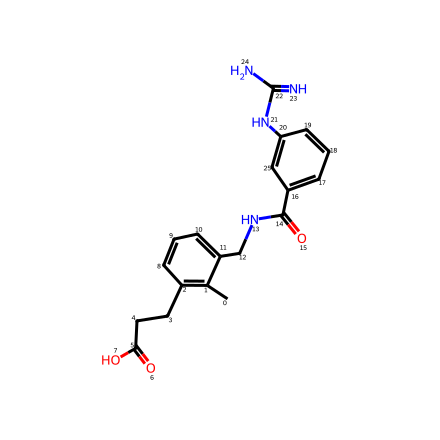 Cc1c(CCC(=O)O)cccc1CNC(=O)c1cccc(NC(=N)N)c1